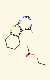 CCOC(=O)C[C@@H]1CCCc2sc3ncnc(Cl)c3c21